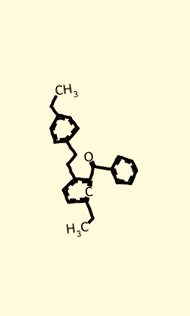 CCc1ccc(CCc2ccc(CC)cc2C(=O)c2ccccc2)cc1